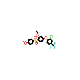 CCOc1cc(Oc2ccc(C(F)(F)F)cc2Cl)ccc1S(=O)(=O)c1ccc(OC)cc1